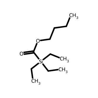 CCCCOC(=O)[Si](CC)(CC)CC